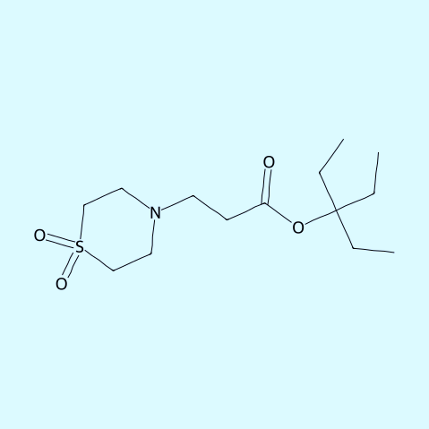 CCC(CC)(CC)OC(=O)CCN1CCS(=O)(=O)CC1